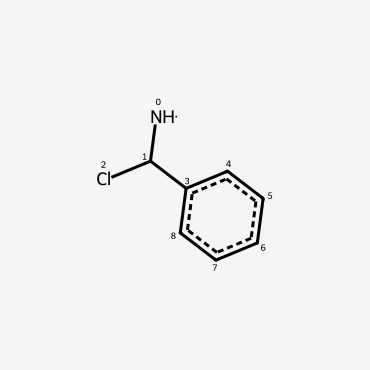 [NH]C(Cl)c1ccccc1